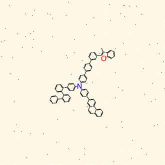 Cc1c(-c2cccc(-c3ccc(-c4ccc(N(c5ccc(-c6ccc7c(ccc8ccccc87)c6)cc5)c5ccc(-c6ccccc6-c6ccccc6-c6ccccc6)cc5)cc4)cc3)c2)oc2ccccc12